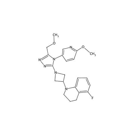 COCc1nnc(N2CC(N3CCCc4c(F)cccc43)C2)n1-c1ccc(OC)nc1